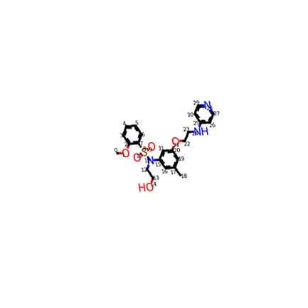 COc1ccccc1S(=O)(=O)N(CCO)c1cc(C)cc(OCCNc2ccncc2)c1